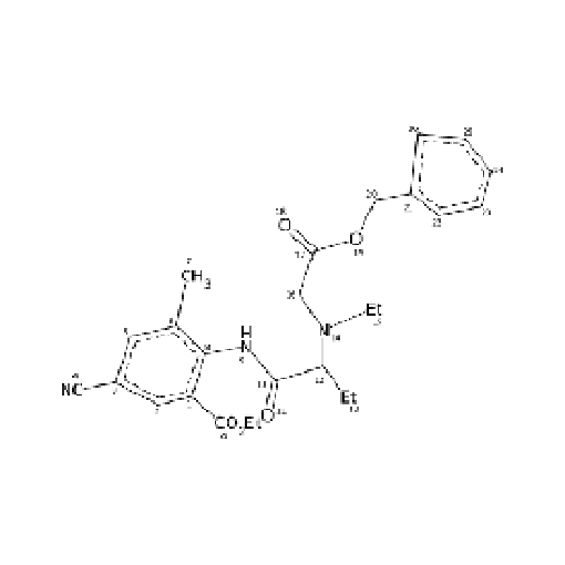 CCOC(=O)c1cc(C#N)cc(C)c1NC(=O)C(CC)N(CC)CC(=O)OCc1ccccc1